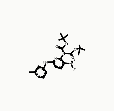 Cc1cc(Nc2ccc([N+](=O)[O-])c(N(C(=O)OC(C)(C)C)C(=O)OC(C)(C)C)n2)ccn1